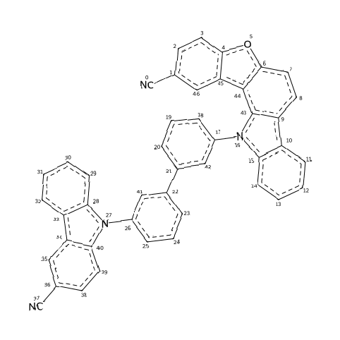 N#Cc1ccc2oc3ccc4c5ccccc5n(-c5cccc(-c6cccc(-n7c8ccccc8c8cc(C#N)ccc87)c6)c5)c4c3c2c1